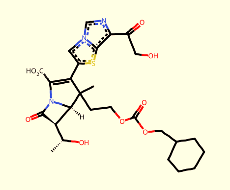 C[C@@H](O)[C@H]1C(=O)N2C(C(=O)O)=C(c3cn4cnc(C(=O)CO)c4s3)C(C)(CCOC(=O)OCC3CCCCC3)[C@@H]12